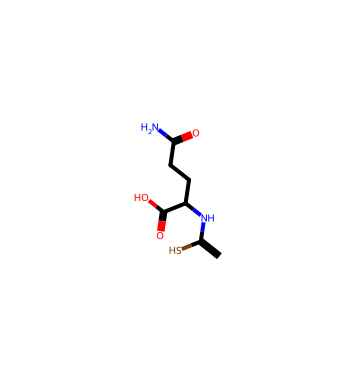 C=C(S)NC(CCC(N)=O)C(=O)O